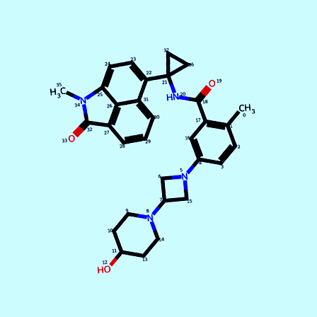 Cc1ccc(N2CC(N3CCC(O)CC3)C2)cc1C(=O)NC1(c2ccc3c4c(cccc24)C(=O)N3C)CC1